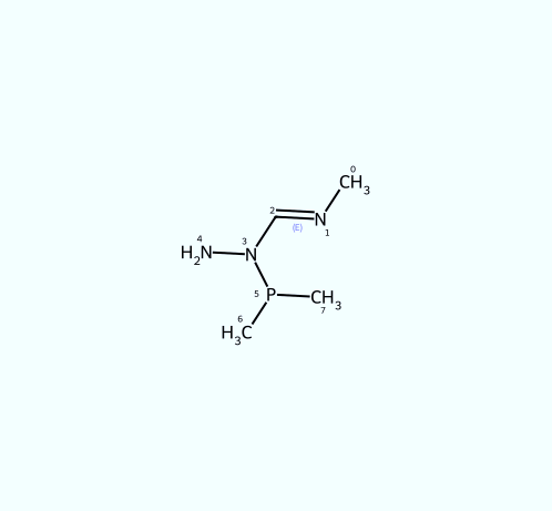 C/N=C/N(N)P(C)C